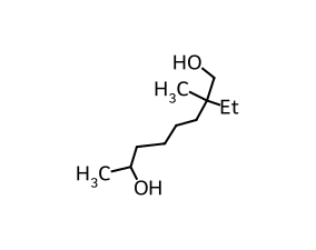 CCC(C)(CO)CCCCC(C)O